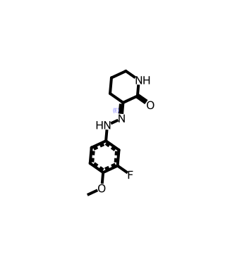 COc1ccc(N/N=C2\CCCNC2=O)cc1F